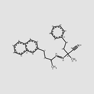 CC(CCc1ccc2ccccc2c1)N=NC(C)(C#N)CCc1ccccc1